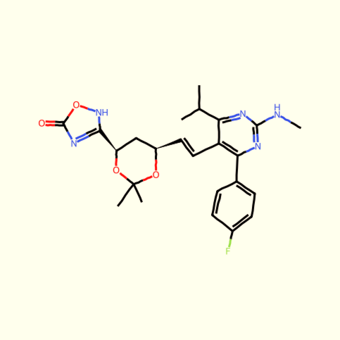 CNc1nc(-c2ccc(F)cc2)c(/C=C/[C@@H]2C[C@H](c3nc(=O)o[nH]3)OC(C)(C)O2)c(C(C)C)n1